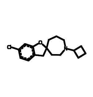 Clc1ccc2c(c1)OC1(CCCN(C3CCC3)CC1)C2